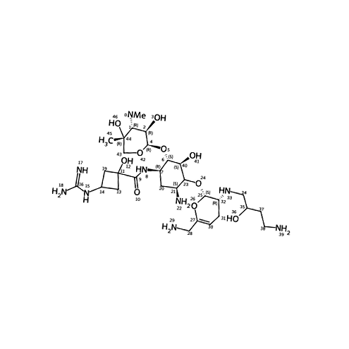 CN[C@@H]1[C@@H](O)[C@@H](O[C@H]2[C@H](NC(=O)C3(O)CC(NC(=N)N)C3)C[C@H](N)C(O[C@H]3OC(CN)=CC[C@H]3NCC(O)CCN)[C@@H]2O)OC[C@]1(C)O